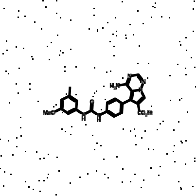 CCOC(=O)c1cn2ncnc(N)c2c1-c1ccc(NC(=O)Nc2cc(C)cc(OC)c2)cc1